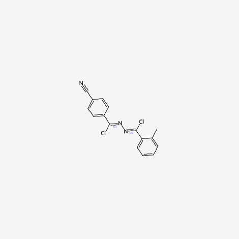 Cc1ccccc1/C(Cl)=N/N=C(\Cl)c1ccc(C#N)cc1